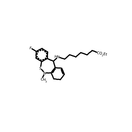 CCOC(=O)CCCCCCNC1C2=C(CCC=C2)N(C)Sc2cc(F)ccc21